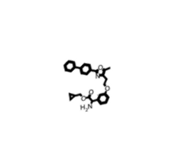 Cc1oc(-c2ccc(-c3ccccc3)cc2)nc1CCOc1[c]c(C(N)C(=O)OCC2CC2)ccc1